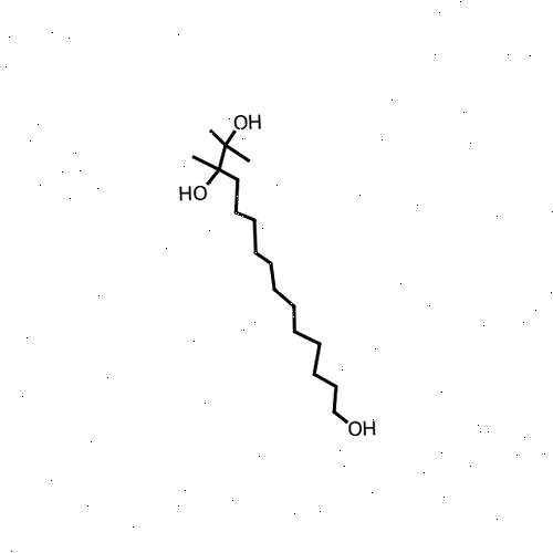 CC(C)(O)C(C)(O)CCCCCCCCCCCCO